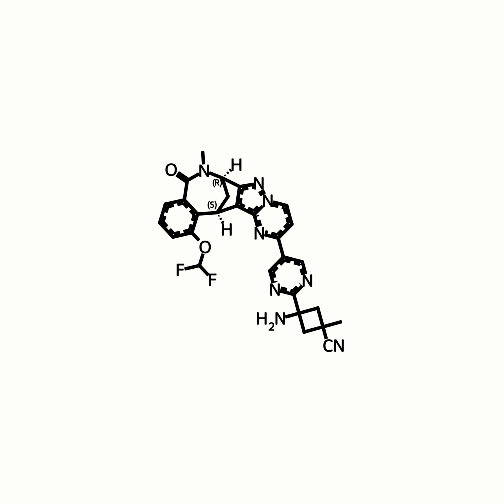 CN1C(=O)c2cccc(OC(F)F)c2[C@H]2C[C@@H]1c1nn3ccc(-c4cnc(C5(N)CC(C)(C#N)C5)nc4)nc3c12